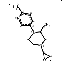 CC1CN(C2CO2)CCN1c1ccc(N)nc1